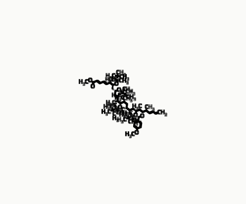 C=CC=C[C@H](C)[C@H](OCc1ccc(OC)cc1)[C@@H](C)[C@H](CC[C@H](C)C[C@H](C)[C@@H](O[Si](C)(C)C(C)(C)C)[C@@H](C)C=C[C@H](C[C@H](O[Si](C)(C)C(C)(C)C)[C@H](C)C=CC=CC(=O)OC)O[Si](C)(C)C(C)(C)C)O[Si](C)(C)C(C)(C)C